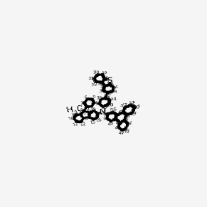 CC1(c2ccccc2)c2ccccc2-c2ccc(N(c3ccc(-c4ccc5sc6ccccc6c5c4)cc3)c3ccc4c5ccccc5c5ccccc5c4c3)cc21